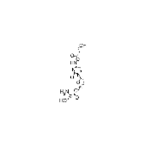 N[C@@H](CO)C(=O)OC[C@@H]1CC[C@H](n2ccc(NOC(=O)CCO)nc2=O)O1